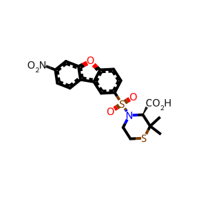 CC1(C)SCCN(S(=O)(=O)c2ccc3oc4cc([N+](=O)[O-])ccc4c3c2)[C@H]1C(=O)O